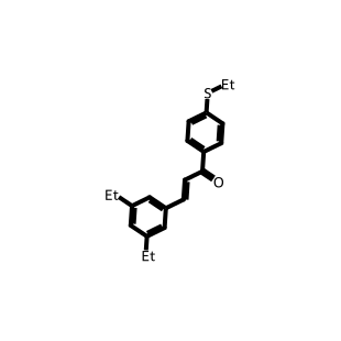 CCSc1ccc(C(=O)C=Cc2cc(CC)cc(CC)c2)cc1